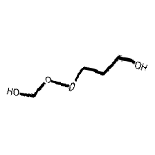 OCCCOOCO